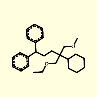 CCOCC(CCC(c1ccccc1)c1ccccc1)(COC)C1CCCCC1